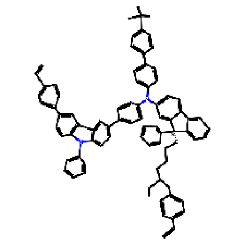 C=Cc1ccc(CC(CC)CCCC[C@@]2(c3ccccc3)c3ccccc3-c3ccc(N(c4ccc(-c5ccc(C(C)(C)C)cc5)cc4)c4ccc(-c5ccc6c(c5)c5cc(-c7ccc(C=C)cc7)ccc5n6-c5ccccc5)cc4)cc32)cc1